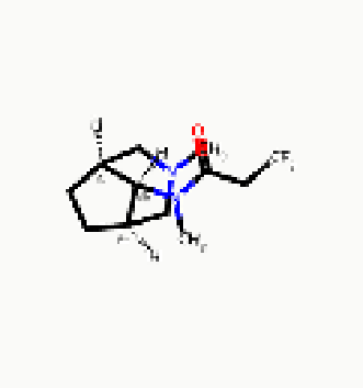 CN1C[C@H]2CC[C@@H](C1)[C@H]2N(C)C(=O)CC(F)(F)F